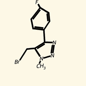 Cn1nnc(-c2ccc(F)cc2)c1CBr